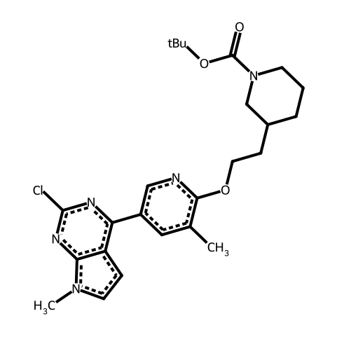 Cc1cc(-c2nc(Cl)nc3c2ccn3C)cnc1OCCC1CCCN(C(=O)OC(C)(C)C)C1